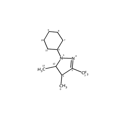 CC1C(C(F)(F)F)=NN(C2CCCCC2)C1C